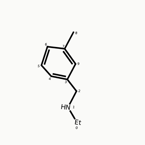 CCNCc1cccc(C)c1